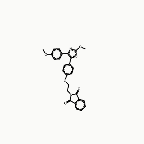 COc1ccc(-c2nc(OC)oc2-c2ccc(OCCN3C(=O)c4ccccc4C3=O)cc2)cc1